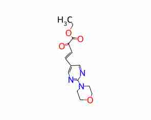 CCOC(=O)C(=O)C=Cc1cnc(N2CCOCC2)nc1